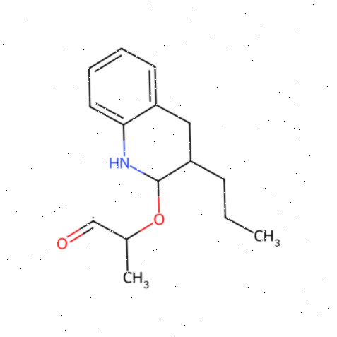 CCCC1Cc2ccccc2NC1OC(C)[C]=O